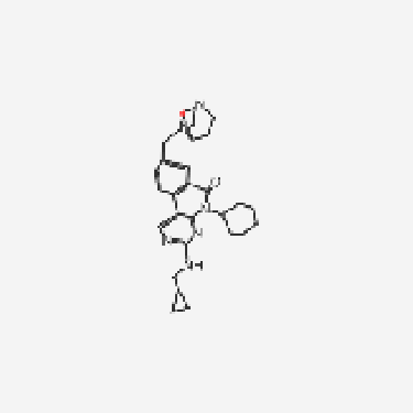 O=c1c2cc(CN3CCN4CCC3CC4)ccc2c2cnc(NCC3CC3)nc2n1C1CCCCC1